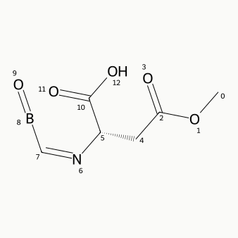 COC(=O)C[C@H](/N=C\B=O)C(=O)O